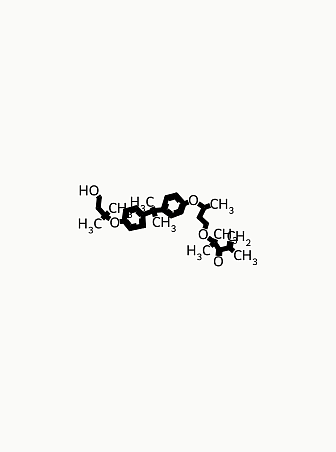 C=C(C)C(=O)C(C)(C)OCCC(C)Oc1ccc(C(C)(C)c2ccc(OC(C)(C)CCO)cc2)cc1